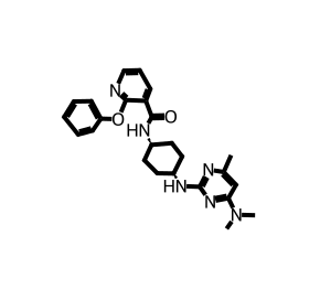 Cc1cc(N(C)C)nc(N[C@H]2CC[C@@H](NC(=O)c3cccnc3Oc3ccccc3)CC2)n1